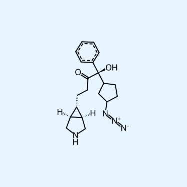 [N-]=[N+]=NC1CCC([C@](O)(C(=O)CC[C@@H]2[C@H]3CNC[C@@H]23)c2ccccc2)C1